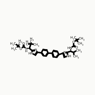 CC(C)[C@H](NC(=O)OC(C)(C)C)c1nc(-c2ccc(-c3ccc(-c4c[nH]c([C@@H](NC(=O)OC(C)(C)C)C(C)(C)C)n4)cc3)cc2)c[nH]1